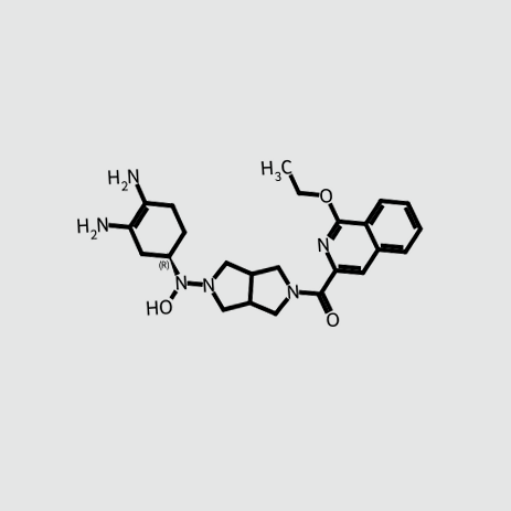 CCOc1nc(C(=O)N2CC3CN(N(O)[C@@H]4CCC(N)=C(N)C4)CC3C2)cc2ccccc12